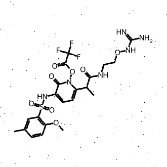 COc1ccc(C)cc1S(=O)(=O)Nc1ccc(C(C)C(=O)NCCONC(=N)N)n(OC(=O)C(F)(F)F)c1=O